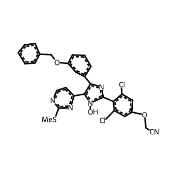 CSc1nccc(-c2c(-c3cccc(OCc4ccccc4)c3)nc(-c3c(Cl)cc(OCC#N)cc3Cl)n2O)n1